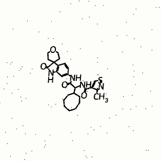 Cc1nscc1C(=O)NC(C(=O)Nc1ccc2c(c1)NC(=O)C21CCOCC1)C1CCCCCCC1